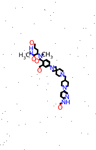 CNC(=O)C(CCC=O)N(C)C(=O)c1ccc(N2CC3(CCN(CC4CCN(c5ccc(NC=O)nc5)CC4)CC3)C2)cc1C=O